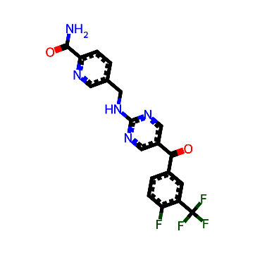 NC(=O)c1ccc(CNc2ncc(C(=O)c3ccc(F)c(C(F)(F)F)c3)cn2)cn1